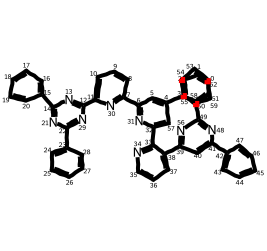 c1ccc(-c2cc(-c3cccc(-c4nc(-c5ccccc5)nc(-c5ccccc5)n4)n3)nc(-c3ncccc3-c3cc(-c4ccccc4)nc(-c4ccccc4)n3)c2)cc1